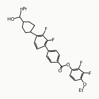 CCCC(O)C1CCC(c2ccc(-c3ccc(C(=O)Oc4ccc(OCC)c(F)c4F)cc3)c(F)c2F)CC1